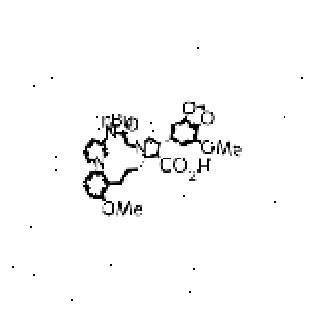 CCCCN(C(=O)CN1C[C@H](c2cc(OC)c3c(c2)OCO3)[C@@H](C(=O)O)[C@@H]1CCCc1ccccc1OC)c1cccnc1